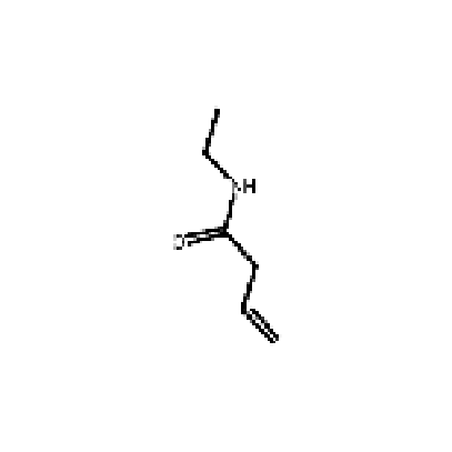 C=CCC(=O)NCC